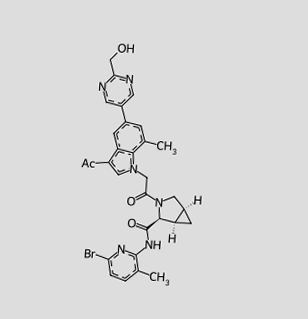 CC(=O)c1cn(CC(=O)N2C[C@H]3C[C@H]3[C@H]2C(=O)Nc2nc(Br)ccc2C)c2c(C)cc(-c3cnc(CO)nc3)cc12